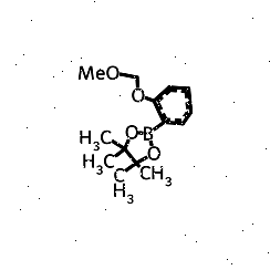 COCOc1ccccc1B1OC(C)(C)C(C)(C)O1